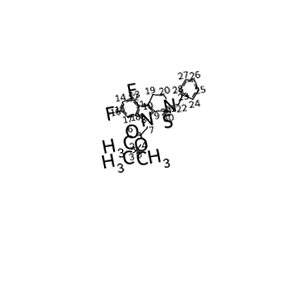 CC(C)(C)OC(=O)Cn1c2c(c3c(F)cc(F)cc31)CCN(Cc1ccccc1)C2=S